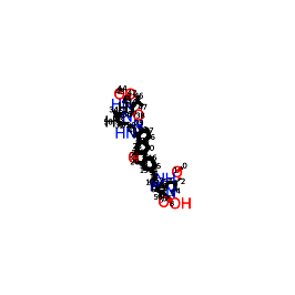 COC[C@@H]1CN(C(=O)O)[C@](c2ncc(-c3ccc4c(c3)COc3cc5c(ccc6nc([C@@H]7C[C@H]8C[C@H]8N7C(=O)[C@@H](NC(=O)OC)C(C)C)[nH]c65)cc3-4)[nH]2)(C(C)(C)C)C1